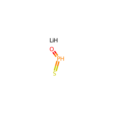 O=[PH]=S.[LiH]